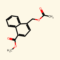 COC(=O)c1ccc(COC(C)=O)c2ccccc12